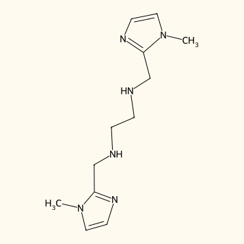 Cn1ccnc1CNCCNCc1nccn1C